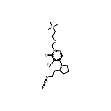 C[Si](C)(C)CCOCn1ncc(N2CCC[C@H]2CCN=[N+]=[N-])c(C(F)(F)F)c1=O